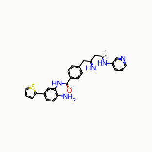 C[C@@H](CC(=N)Cc1ccc(C(=O)Nc2cc(-c3cccs3)ccc2N)cc1)Nc1cccnc1